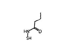 CCCC(=O)NS